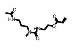 C=CC(=O)OCCNC(=O)N(C)CCCNC(C)=O